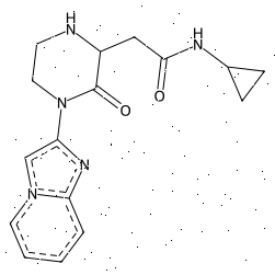 O=C(CC1NCCN(c2cn3ccccc3n2)C1=O)NC1CC1